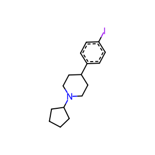 Ic1ccc(C2CCN(C3CCCC3)CC2)cc1